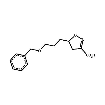 O=C(O)C1=NOC(CCCOCc2ccccc2)C1